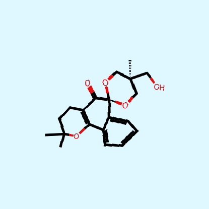 CC1(C)CCC2=C(O1)c1ccccc1[C@]1(OC[C@](C)(CO)CO1)C2=O